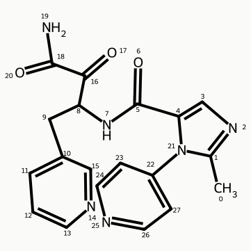 Cc1ncc(C(=O)NC(Cc2cccnc2)C(=O)C(N)=O)n1-c1ccncc1